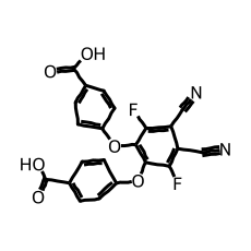 N#Cc1c(F)c(Oc2ccc(C(=O)O)cc2)c(Oc2ccc(C(=O)O)cc2)c(F)c1C#N